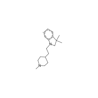 CN1CCC(CCN2CC(C)(C)c3cc[c]cc32)CC1